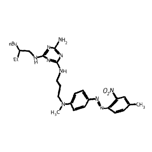 CCCCC(CC)CNc1nc(N)nc(NCCCN(C)c2ccc(N=Nc3ccc(C)cc3[N+](=O)[O-])cc2)n1